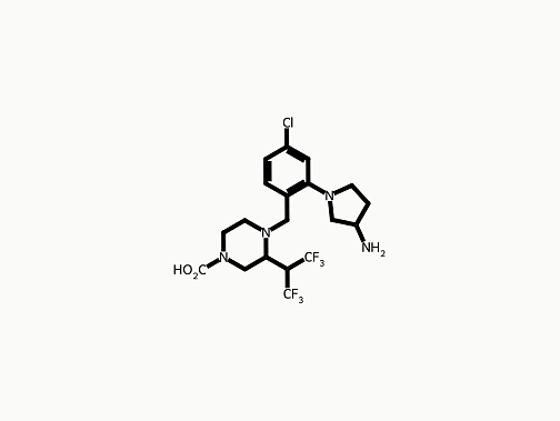 NC1CCN(c2cc(Cl)ccc2CN2CCN(C(=O)O)CC2C(C(F)(F)F)C(F)(F)F)C1